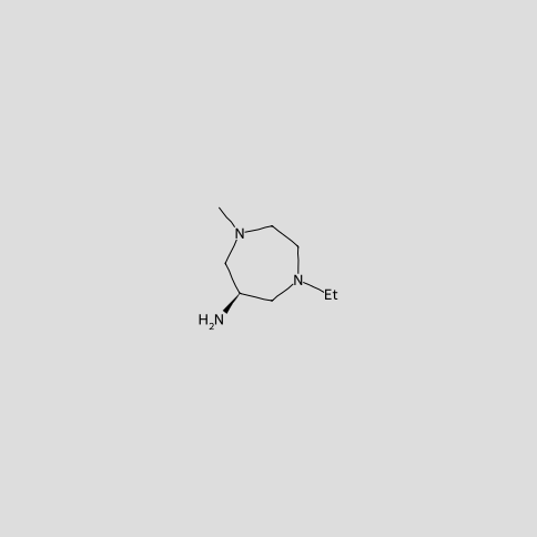 CCN1CCN(C)C[C@H](N)C1